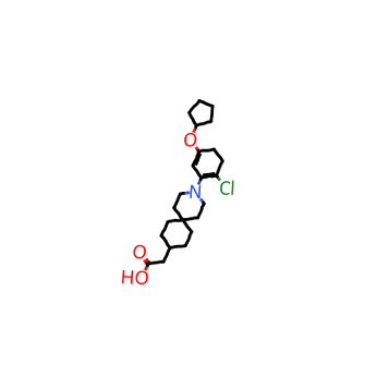 O=C(O)CC1CCC2(CC1)CCN(C1=C(Cl)CCC(OC3CCCC3)=C1)CC2